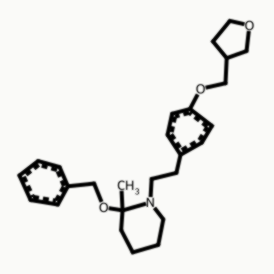 CC1(OCc2ccccc2)CCCCN1CCc1ccc(OCC2CCOC2)cc1